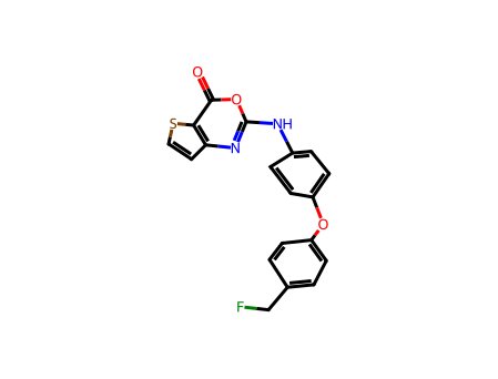 O=c1oc(Nc2ccc(Oc3ccc(CF)cc3)cc2)nc2ccsc12